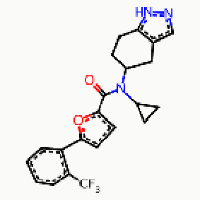 O=C(c1ccc(-c2ccccc2C(F)(F)F)o1)N(C1CC1)C1CCc2[nH]ncc2C1